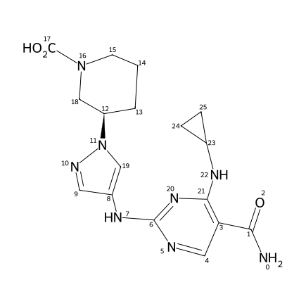 NC(=O)c1cnc(Nc2cnn([C@@H]3CCCN(C(=O)O)C3)c2)nc1NC1CC1